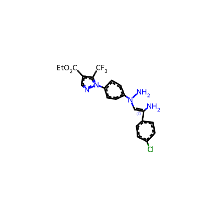 CCOC(=O)c1cnn(-c2ccc(N(N)/C=C(\N)c3ccc(Cl)cc3)cc2)c1C(F)(F)F